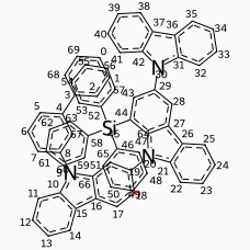 c1ccc(-c2cccc(-n3c4ccccc4c4ccc(-n5c6ccccc6c6cc(-n7c8ccccc8c8ccccc87)cc([Si](c7ccccc7)(c7ccccc7)c7ccccc7)c65)cc43)c2)cc1